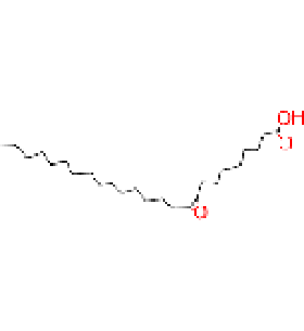 CCCCCCCCCCCCCCCC1OC1CCCCCCCC(=O)O